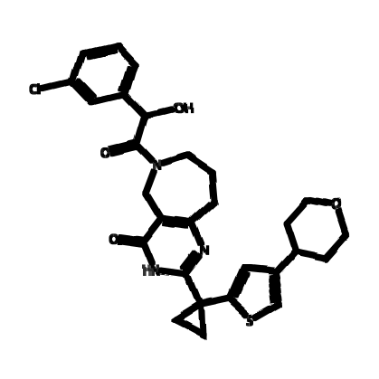 O=C(C(O)c1cccc(Cl)c1)N1CCCc2nc(C3(c4cc(C5CCOCC5)cs4)CC3)[nH]c(=O)c2C1